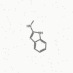 CNc1cc2ccccc2[nH]1